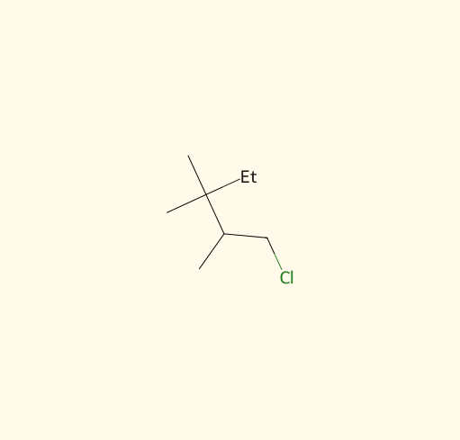 CCC(C)(C)C(C)CCl